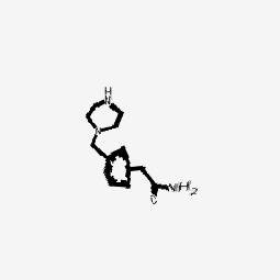 NC(=O)Cc1cccc(CN2CCNCC2)c1